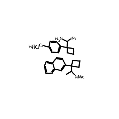 CCCC(N)C1(c2ccc(Cl)cc2)CCC1.CNC(C)C1(c2ccc3ccccc3c2)CCC1.Cl.Cl